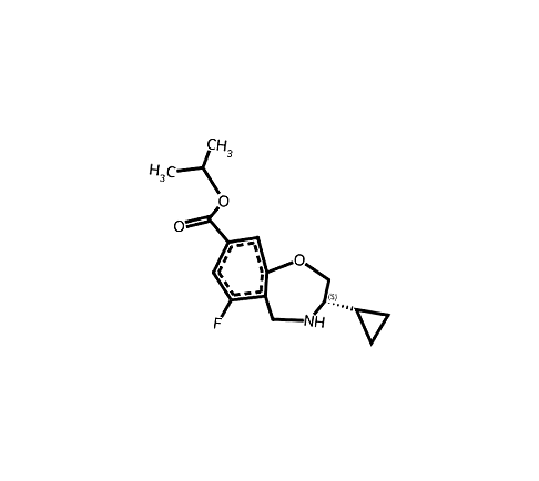 CC(C)OC(=O)c1cc(F)c2c(c1)OC[C@H](C1CC1)NC2